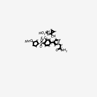 CO[C@@H]1CC[C@@H](S(=O)(=O)c2ccc(-c3cnn(CC(N)=O)c3)cc2C(F)(F)F)C1.N#CC1(NC(=O)O)CC1